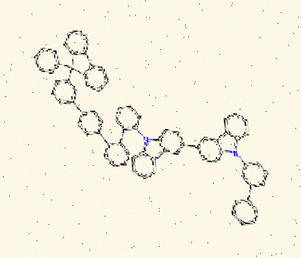 c1ccc(-c2cccc(-n3c4ccccc4c4cc(-c5ccc6c(c5)c5ccccc5n6-c5ccccc5-c5ccccc5-c5ccc(-c6cccc(C7(c8ccccc8)c8ccccc8-c8ccccc87)c6)cc5)ccc43)c2)cc1